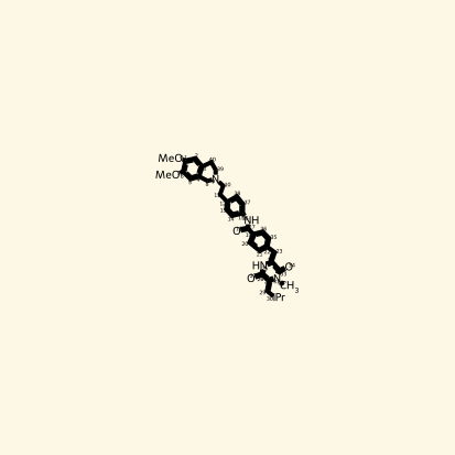 COc1cc2c(cc1OC)CN(CCc1ccc(NC(=O)c3ccc(/C=c4\[nH]c(=O)/c(=C/C(C)C)n(C)c4=O)cc3)cc1)CC2